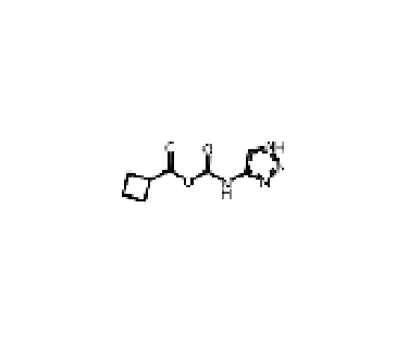 O=C(Nc1c[nH]nn1)OC(=O)C1CCC1